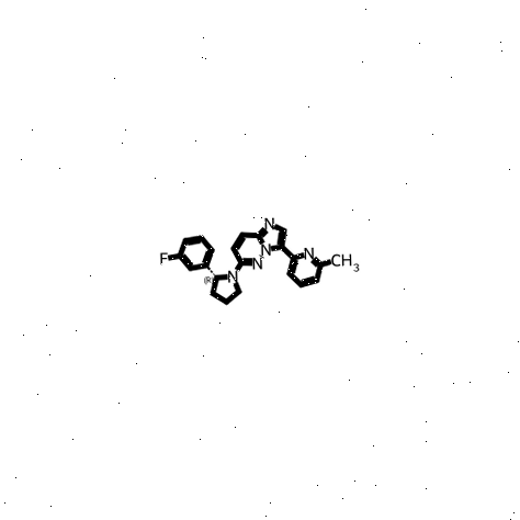 Cc1cccc(-c2cnc3ccc(N4CCC[C@@H]4c4cccc(F)c4)nn23)n1